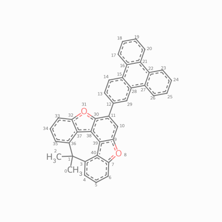 CC1(C)c2cccc3oc4cc(-c5ccc6c7ccccc7c7ccccc7c6c5)c5oc6cccc1c6c5c4c23